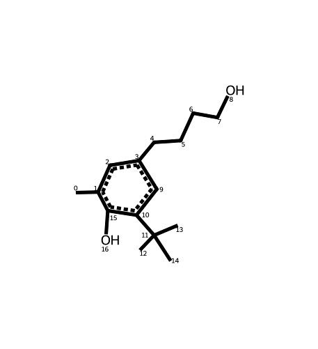 Cc1cc(CCCCO)cc(C(C)(C)C)c1O